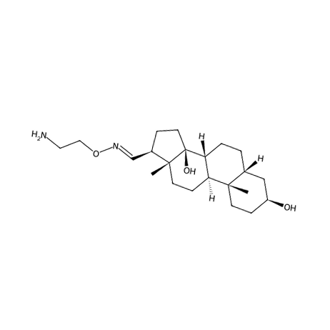 C[C@]12CC[C@H](O)C[C@H]1CC[C@@H]1[C@@H]2CC[C@]2(C)[C@@H](C=NOCCN)CC[C@]12O